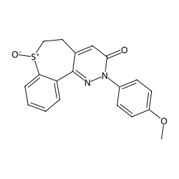 COc1ccc(-n2nc3c(cc2=O)CC[S+]([O-])c2ccccc2-3)cc1